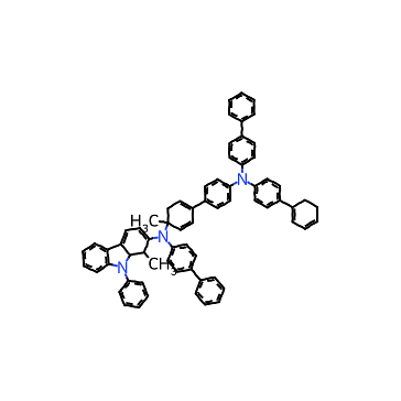 CC1C(N(c2ccc(-c3ccccc3)cc2)C2(C)C=CC(c3ccc(N(c4ccc(C5=CC=CCC5)cc4)c4ccc(-c5ccccc5)cc4)cc3)=CC2)=CC=C2c3ccccc3N(c3ccccc3)C21